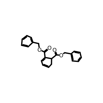 O=C(OCc1ccccc1)C1=CC=CCC1C(=O)OCc1ccccc1